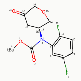 CC(C)(C)OC(=O)N(c1cc(F)ccc1F)[C@@H]1COCC(=O)C1